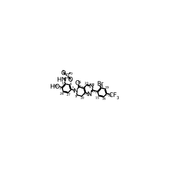 CS(=O)(=O)Nc1cc(N2CCc3nc(-c4ccc(C(F)(F)F)cc4Br)ncc3C2=O)ccc1O